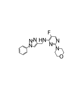 Fc1cnc(N2CCOCC2)nc1NCc1cn(-c2ccccc2)nn1